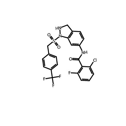 O=C(Nc1ccc2c(c1)N(S(=O)(=O)Cc1ccc(C(F)(F)F)cc1)NC2)c1c(F)cccc1Cl